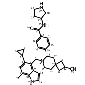 Cc1cc(C2CC2)c(CN2CCC3(CC(C#N)C3)C[C@H]2c2ccc(C(=O)NC3CCNC3)cc2)c2cc[nH]c12